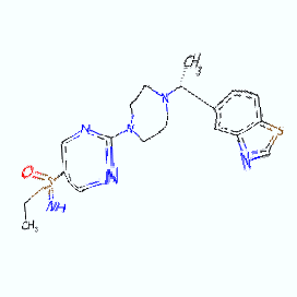 CCS(=N)(=O)c1cnc(N2CCN([C@H](C)c3ccc4scnc4c3)CC2)nc1